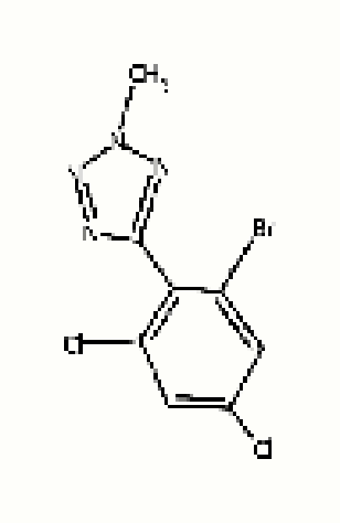 Cn1nnc(-c2c(Cl)cc(Cl)cc2Br)n1